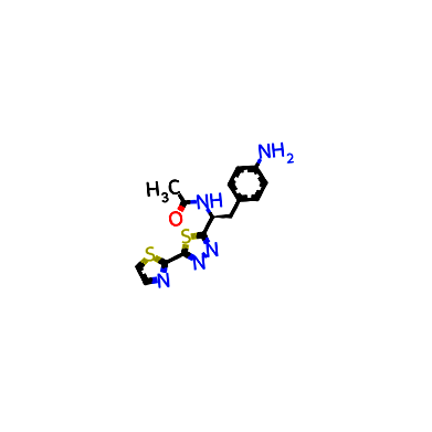 CC(=O)N[C@@H](Cc1ccc(N)cc1)c1nnc(-c2nccs2)s1